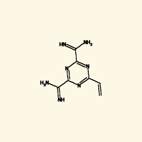 C=Cc1nc(C(=N)N)nc(C(=N)N)n1